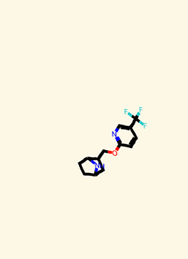 FC(F)(F)c1ccc(OCC2CC3CCC2N3)nc1